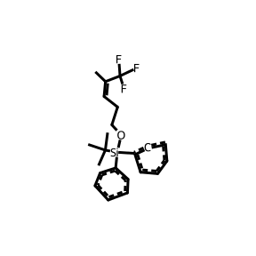 CC(=CCCO[Si](c1ccccc1)(c1ccccc1)C(C)(C)C)C(F)(F)F